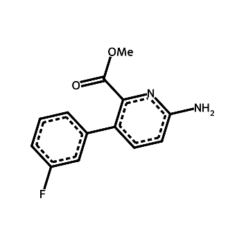 COC(=O)c1nc(N)ccc1-c1cccc(F)c1